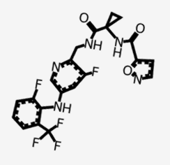 O=C(NC1(C(=O)NCc2ncc(Nc3c(F)cccc3C(F)(F)F)cc2F)CC1)c1ccno1